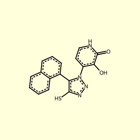 O=c1[nH]ccc(-n2nnc(S)c2-c2cccc3ccccc23)c1O